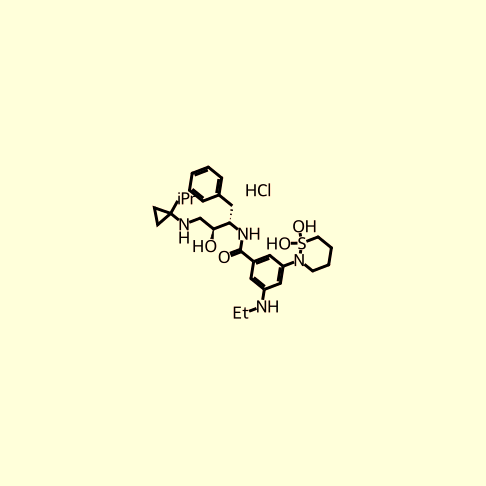 CCNc1cc(C(=O)N[C@@H](Cc2ccccc2)[C@@H](O)CNC2(C(C)C)CC2)cc(N2CCCCS2(O)O)c1.Cl